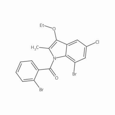 [CH2]COc1c(C)n(C(=O)c2ccccc2Br)c2c(Br)cc(Cl)cc12